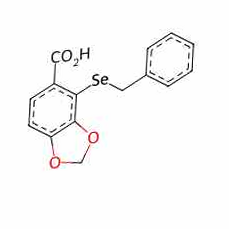 O=C(O)c1ccc2c(c1[Se]Cc1ccccc1)OCO2